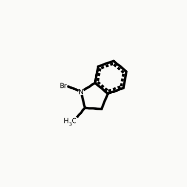 CC1Cc2ccccc2N1Br